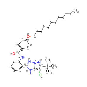 CCCCCCCCCCCCOc1ccc(C(=O)Nc2ccccc2-c2nn3nc(C(C)(C)C)c(Cl)c3[nH]2)cc1